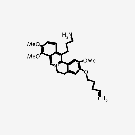 C=CCCCOc1cc2c(cc1OC)-c1c(CCCN)c3ccc(OC)c(OC)c3c[n+]1CC2